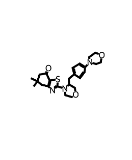 CC1(C)CC(=O)c2sc(N3CCOCC3Cc3ccc(N4CCOCC4)cc3)nc2C1